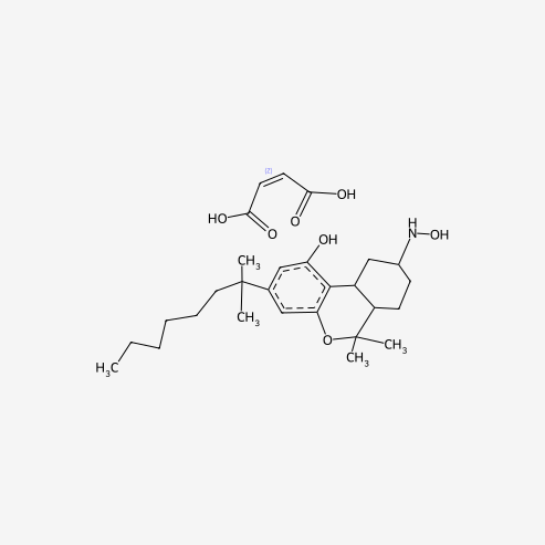 CCCCCCC(C)(C)c1cc(O)c2c(c1)OC(C)(C)C1CCC(NO)CC21.O=C(O)/C=C\C(=O)O